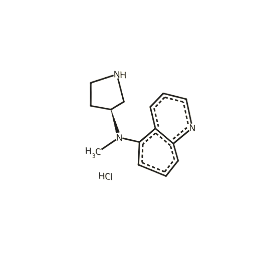 CN(c1cccc2ncccc12)[C@H]1CCNC1.Cl